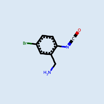 NCc1cc(Br)ccc1N=C=O